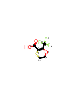 O=C(O)C1=C(C(F)(F)F)OCCS1